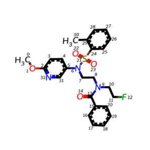 COc1ccc(N(CCN(CCF)C(=O)c2ccccc2)S(=O)(=O)c2ccccc2C)cn1